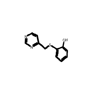 Oc1ccccc1SCc1ccncn1